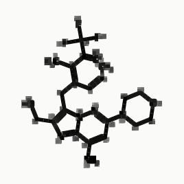 C=C(/C(C)=C(\C=C/C)Cc1c(CO)nc2c(N)cc(N3CCOCC3)nn12)C(F)(F)F